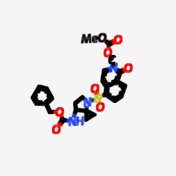 COC(=O)OCn1ccc2c(S(=O)(=O)N3CCC(NC(=O)OCc4ccccc4)C34CC4)cccc2c1=O